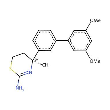 COc1cc(OC)cc(-c2cccc([C@]3(C)CCSC(N)=N3)c2)c1